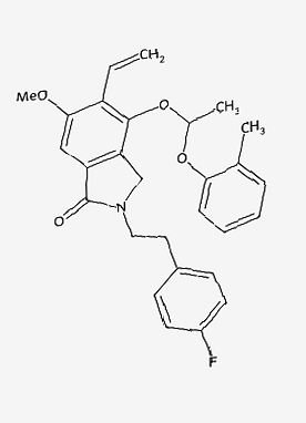 C=Cc1c(OC)cc2c(c1OC(C)Oc1ccccc1C)CN(CCc1ccc(F)cc1)C2=O